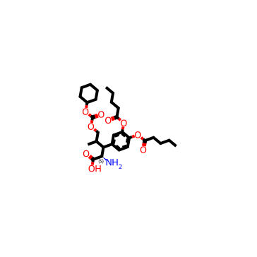 CCCCC(=O)Oc1ccc(C(C(C)COC(=O)OC2CCCCC2)[C@H](N)C(=O)O)cc1OC(=O)CCCC